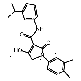 Cc1ccc(N2CC(O)=C(C(=O)Nc3cccc(C(C)C)c3)C2=O)cc1C